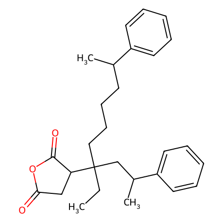 CCC(CCCCC(C)c1ccccc1)(CC(C)c1ccccc1)C1CC(=O)OC1=O